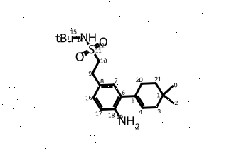 CC1(C)CC=C(c2cc(CCS(=O)(=O)NC(C)(C)C)ccc2N)CC1